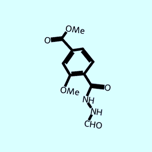 COC(=O)c1ccc(C(=O)NNC=O)c(OC)c1